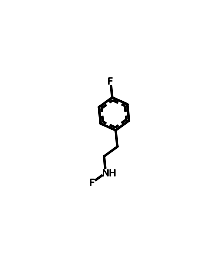 FNCCc1ccc(F)cc1